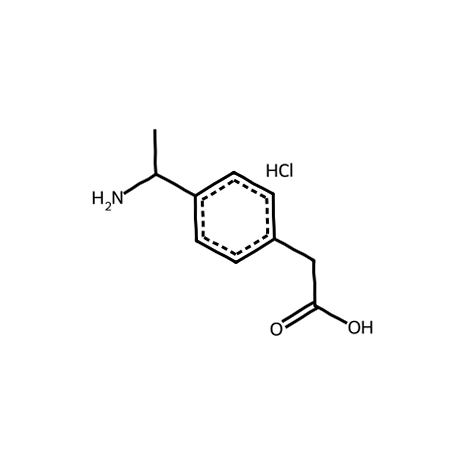 CC(N)c1ccc(CC(=O)O)cc1.Cl